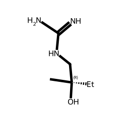 CC[C@@](C)(O)CNC(=N)N